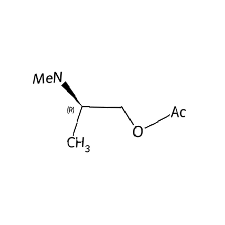 CN[C@H](C)COC(C)=O